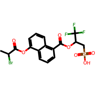 CC(Br)C(=O)Oc1cccc2c(C(=O)OC(CS(=O)(=O)O)C(F)(F)F)cccc12